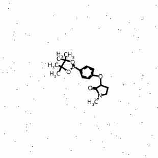 CN1CCC(Oc2ccc(B3OC(C)(C)C(C)(C)O3)cc2)C1=O